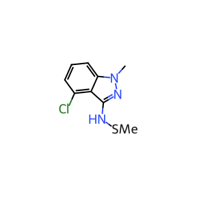 CSNc1nn(C)c2cccc(Cl)c12